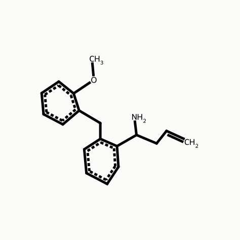 C=CCC(N)c1ccccc1Cc1ccccc1OC